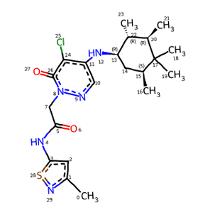 Cc1cc(NC(=O)Cn2ncc(N[C@@H]3C[C@H](C)C(C)(C)[C@H](C)[C@H]3C)c(Cl)c2=O)sn1